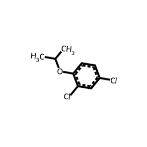 CC(C)Oc1ccc(Cl)cc1Cl